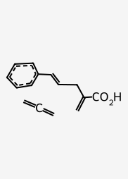 C=C(CC=Cc1ccccc1)C(=O)O.C=C=C